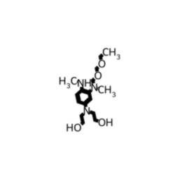 CCOCOCN(C)c1cc(N(CCO)CCO)ccc1NC